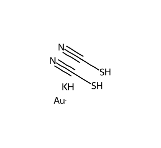 N#CS.N#CS.[Au].[KH]